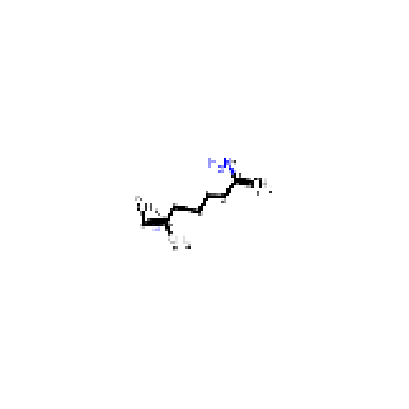 C=C(N)CCCC/C(C)=C\C